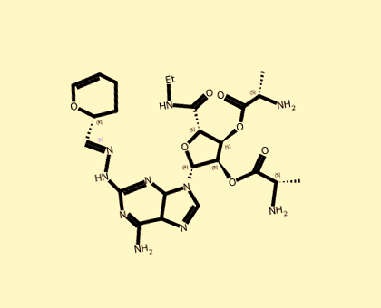 CCNC(=O)[C@H]1O[C@@H](N2C=NC3C(N)=NC(N/N=C/[C@H]4CCC=CO4)=NC32)[C@H](OC(=O)[C@H](C)N)[C@@H]1OC(=O)[C@H](C)N